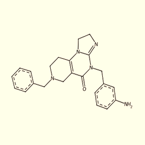 Nc1cccc(CN2C(=O)C3=C(CCN(Cc4ccccc4)C3)N3CCN=C23)c1